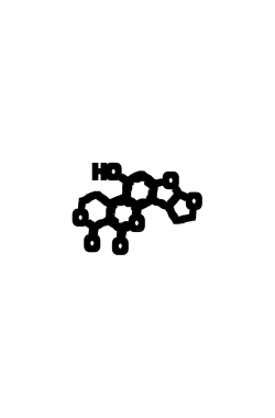 O=C1OCCc2c1c(=O)oc1c3c(cc(O)c21)OC1OCCC31